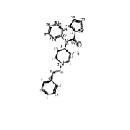 C[C@@H]1CN(CCc2ccccc2)CC[C@H]1N(C(=O)c1cccs1)c1cnccn1